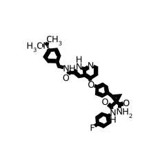 CN(C)c1ccc(CNC(=O)c2cc3c(Oc4ccc(C5CC5(C(N)=O)C(=O)Nc5ccc(F)cc5)cc4)ccnc3[nH]2)cc1